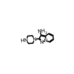 Nc1c(N2CCNCC2)nn2ccccc12